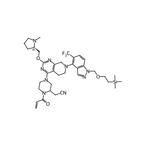 C=CC(=O)N1CCN(c2nc(OC[C@H]3CCCN3C)nc3c2CCN(c2c(C(F)(F)F)ccc4c2cnn4COCC[Si](C)(C)C)C3)CC1CC#N